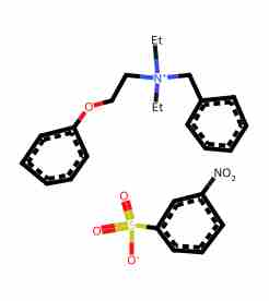 CC[N+](CC)(CCOc1ccccc1)Cc1ccccc1.O=[N+]([O-])c1cccc(S(=O)(=O)[O-])c1